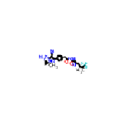 C=C(CCc1cc(NC(=O)Cc2ccc(-c3nn(C4(C)CC4)c(N)c3C#N)cc2)on1)C(F)(F)F